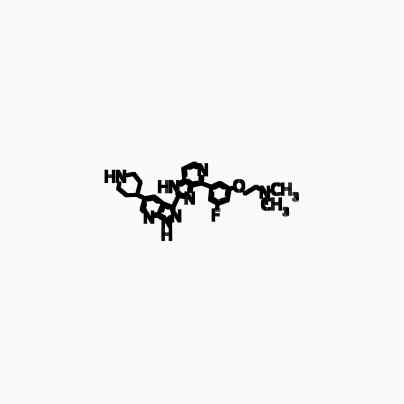 CN(C)CCOc1cc(F)cc(-c2nccc3[nH]c(-c4n[nH]c5ncc(C6CCNCC6)cc45)nc23)c1